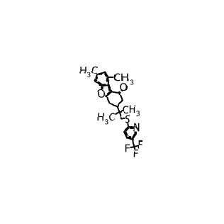 Cc1cc(C)c2c3c(oc2c1)CC(C(C)(C)CSc1ccc(C(F)(F)F)cn1)CC3=O